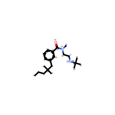 CCCC(C)(C)Cc1cccc(C(=O)N(C)CCNC(C)(C)C)c1